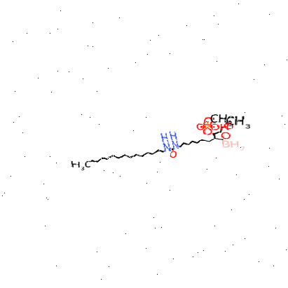 B[C@@H]1O[C@H](COC)C(OP(=O)(O)OC)[C@@H]1CCCCCCCNC(=O)NCCCCCCCCCCCCCCC